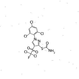 NC(=O)Sc1nn(-c2c(Cl)cc(Cl)cc2Cl)cc1S(=O)(=O)C(F)(Cl)Cl